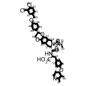 Cc1nccc(Oc2ccc(C[C@H](NC(=O)[C@@H]3Cc4cc5c(cc4CN3S(=O)(=O)N(C)C)O[C@@H](c3ccc(OCc4ccc(Cl)c(Cl)c4)cc3)CO5)C(=O)O)cc2)c1C